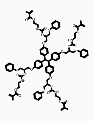 C=C(C)C(=O)OCCNC(=O)OC(COc1ccc(C(c2ccc(OCC(CSc3ccccc3)OC(=O)NCCOC(=O)C(=C)C)cc2)C(c2ccc(OCC(CSc3ccccc3)OC(=O)NCCOC(=O)C(=C)C)cc2)c2ccc(OCC(CSc3ccccc3)OC(=O)NCCOC(=O)C(=C)C)cc2)cc1)CSc1ccccc1